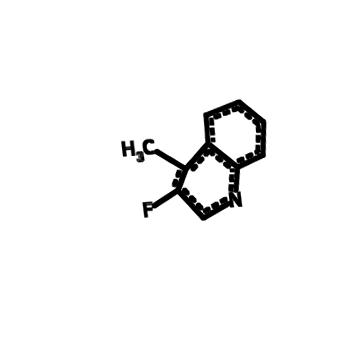 Cc1c(F)cnc2ccccc12